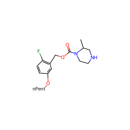 CCCCCOc1ccc(F)c(COC(=O)N2CCNCC2C)c1